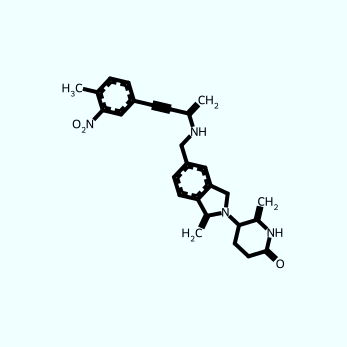 C=C(C#Cc1ccc(C)c([N+](=O)[O-])c1)NCc1ccc2c(c1)CN(C1CCC(=O)NC1=C)C2=C